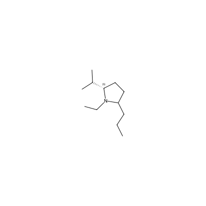 CCCC1CC[C@@H](C(C)C)N1CC